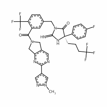 Cn1cc(-c2ncc3c(n2)CN(C(=O)c2cc(CN4C(=N)N[C@](CCCC(F)(F)F)(c5ccc(F)cc5)C4=O)ccc2C(F)(F)F)C3)cn1